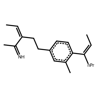 C/C=C(/CCc1ccc(/C(=C\C)CCC)c(C)c1)C(C)=N